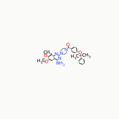 COc1cc2nc(N3CCN(C(=O)c4ccc(OC(C)(C)c5ccccc5)cc4)CC3)nc(N)c2cc1OC